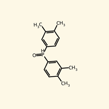 Cc1ccc([PH](=O)c2ccc(C)c(C)c2)cc1C